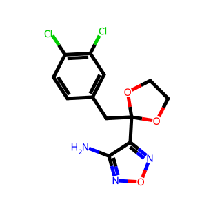 Nc1nonc1C1(Cc2ccc(Cl)c(Cl)c2)OCCO1